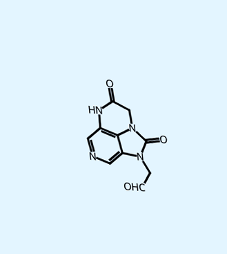 O=CCn1c(=O)n2c3c(cncc31)NC(=O)C2